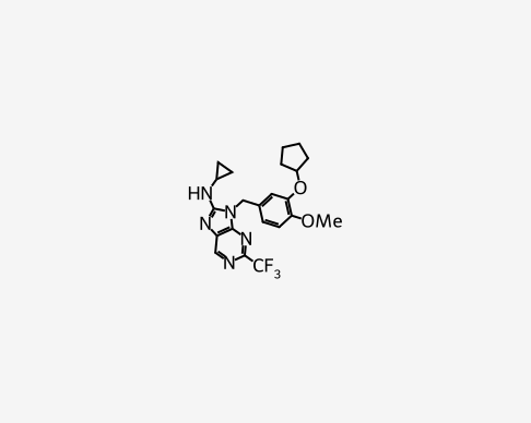 COc1ccc(Cn2c(NC3CC3)nc3cnc(C(F)(F)F)nc32)cc1OC1CCCC1